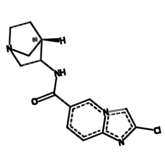 O=C(NC1CN2CC[C@H]1C2)c1ccc2nc(Cl)cn2c1